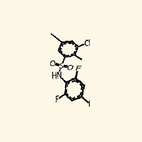 Cc1cc(Cl)c(C)c(S(=O)(=O)Nc2c(F)cc(I)cc2F)c1